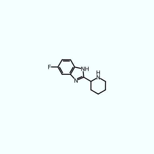 Fc1ccc2[nH]c(C3CCCCN3)nc2c1